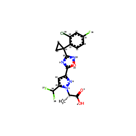 C[C@@H](C(=O)O)n1nc(-c2nc(C3(c4ccc(F)cc4Cl)CC3)no2)cc1C(F)F